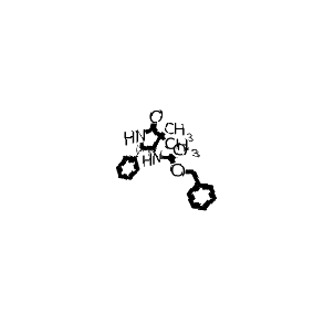 CC1(C)C(=O)N[C@@H](c2ccccc2)[C@@H]1NC(=O)OCc1ccccc1